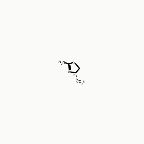 NC1=N[C@@H](C(=O)O)CS1